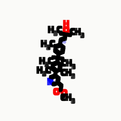 CCC(O)(/C=C/c1ccc(C(CC)(CC)c2cc(C)c(-c3cncc(CC(=O)OC)c3)c(C)c2)cc1C)CC